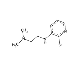 CN(C)CCNc1cccnc1Br